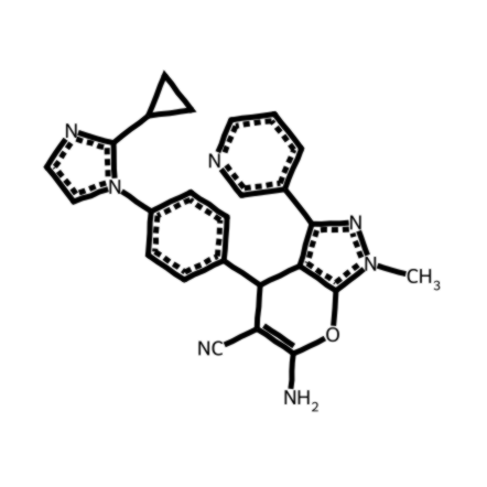 Cn1nc(-c2cccnc2)c2c1OC(N)=C(C#N)C2c1ccc(-n2ccnc2C2CC2)cc1